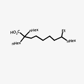 CCCCCCC(CC)CCCCCC(CCCCCC)(CCCCCC)C(=O)O